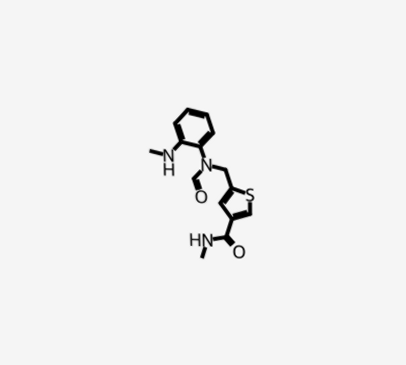 CNC(=O)c1csc(CN(C=O)c2ccccc2NC)c1